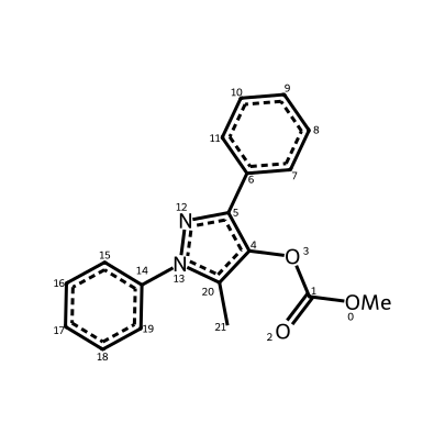 COC(=O)Oc1c(-c2ccccc2)nn(-c2ccccc2)c1C